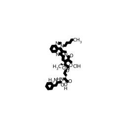 CCCCCN1C=Nc2cccc3nc4c(c1c23)Cn1c-4cc2c(c1=O)COC(=O)[C@@]2(CC)OC(=O)CC[C@@H](NC(=O)[C@@H](N)Cc1ccccc1)C(=O)O.Cl